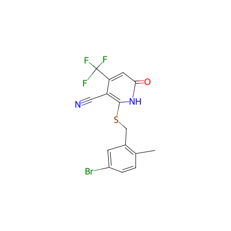 Cc1ccc(Br)cc1CSc1[nH]c(=O)cc(C(F)(F)F)c1C#N